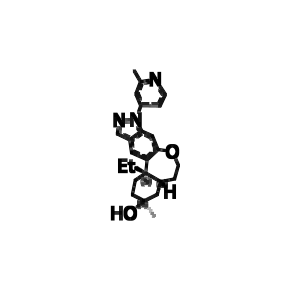 CC[C@]12CC[C@](C)(O)C[C@H]1CCOc1cc3c(cnn3-c3ccnc(C)c3)cc12